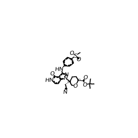 CC(C)(C)OC(=O)[C@@H]1CC[C@](CC#N)(n2nc(Nc3ccc(S(C)(=O)=O)cc3)c3c(=O)[nH]ccc32)CO1